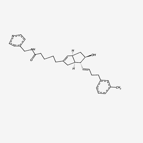 Cc1cccc(CC/C=C/[C@@H]2[C@H]3CC(CCCCC(=O)NCc4ccncc4)=C[C@H]3C[C@H]2O)c1